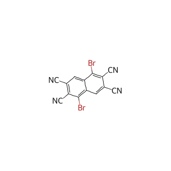 N#Cc1cc2c(Br)c(C#N)c(C#N)cc2c(Br)c1C#N